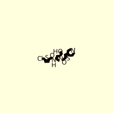 CN1CCc2cc(C(=O)N3CC(NC(=O)c4ccc(Cl)s4)CC3CO)sc2CC1